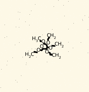 C=CCOCC1O[C@H](OCC)C(OCC=C)C(OCC=C)[C@H]1OCC=C